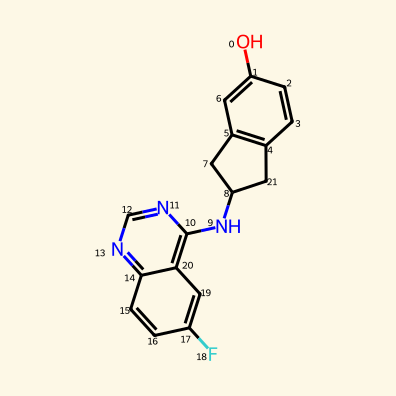 Oc1ccc2c(c1)CC(Nc1ncnc3ccc(F)cc13)C2